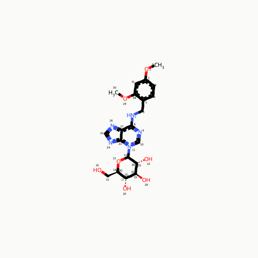 COc1ccc(CNc2ncn(C3O[C@H](CO)[C@@H](O)[C@H](O)[C@H]3O)c3ncnc2-3)c(OC)c1